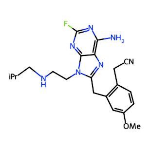 COc1ccc(CC#N)c(Cc2nc3c(N)nc(F)nc3n2CCNCC(C)C)c1